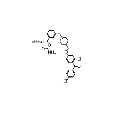 CCCCCCC[C@@H](OC(N)=O)c1cccc(CN2CCC(COc3ccc(C(=O)c4ccc(Cl)cc4)c(Cl)c3)CC2)c1